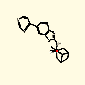 CN1CC2CC(C1)C2C(=O)Nc1nc2ccc(-c3ccncc3)cc2s1